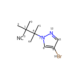 CC(C)(C#N)C(C)(C)n1cc(Br)cn1